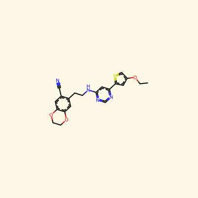 CCOc1csc(-c2cc(NCCc3cc4c(cc3C#N)OCCO4)ncn2)c1